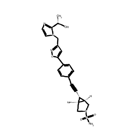 C[C@H](O)c1nccn1Cc1cc(-c2ccc(C#C[C@@H]3[C@H]4CN(S(N)(=O)=O)C[C@@H]34)cc2)on1